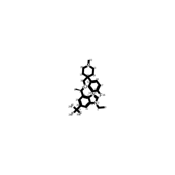 CCn1cnc2c([C@@H](C)OCC3(c4ccc(F)cc4)CCN(C)CC3)cc(C(F)(F)F)cc21